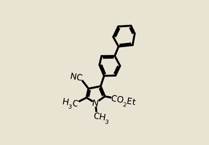 CCOC(=O)c1c(-c2ccc(-c3ccccc3)cc2)c(C#N)c(C)n1C